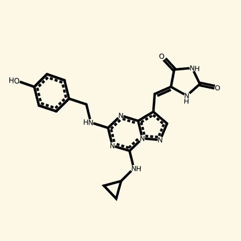 O=C1NC(=O)/C(=C/c2cnn3c(NC4CC4)nc(NCc4ccc(O)cc4)nc23)N1